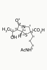 CC(=O)NCCCC1(C(=O)O)CN2C(=O)C(C(C)O)[C@H]2S1